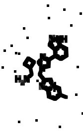 Cc1ccc2nc(Cn3cnc(-c4cccc5[nH]ncc45)c3)cn2c1.NCC1CCC1